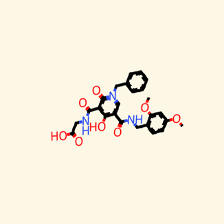 COc1ccc(CNC(=O)c2cn(Cc3ccccc3)c(=O)c(C(=O)NCC(=O)O)c2O)c(OC)c1